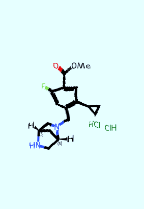 COC(=O)c1cc(C2CC2)c(CN2C[C@@H]3C[C@H]2CN3)cc1F.Cl.Cl